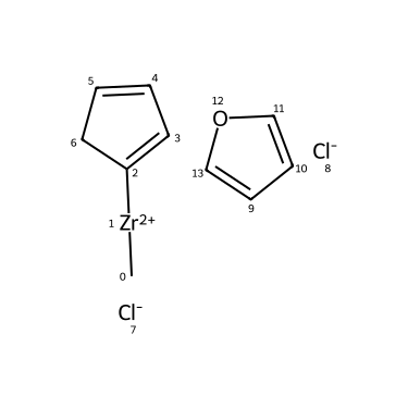 [CH3][Zr+2][C]1=CC=CC1.[Cl-].[Cl-].c1ccoc1